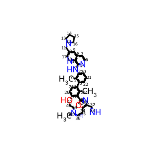 Cc1c(Nc2nccc3cc(CN4CCCC4)cnc23)cccc1-c1cccc(-c2nc(C=N)c(/C=C\N(C)CCO)o2)c1C